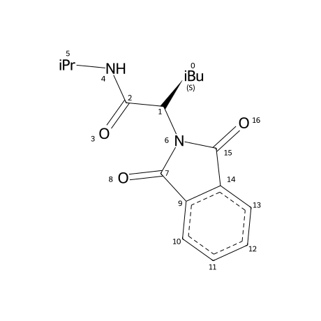 CC[C@H](C)C(C(=O)NC(C)C)N1C(=O)c2ccccc2C1=O